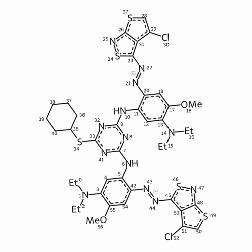 CCN(CC)c1cc(Nc2nc(Nc3cc(N(CC)CC)c(OC)cc3/N=N/c3snc4scc(Cl)c34)nc(SC3CCCCC3)n2)c(/N=N/c2snc3scc(Cl)c23)cc1OC